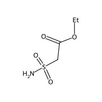 CCOC(=O)CS(N)(=O)=O